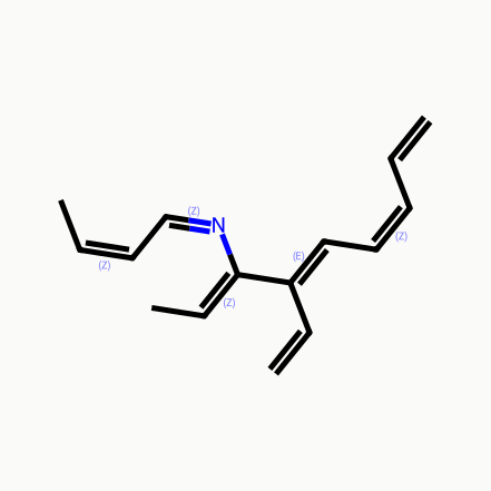 C=C\C=C/C=C(C=C)/C(=C/C)/N=C\C=C/C